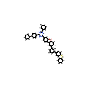 C1=CC(c2nc(-c3ccc(-c4ccccc4)cc3)nc(-c3ccc4c(c3)oc3ccc(-c5cccc(-c6ccc7sc8ccccc8c7c6)c5)cc34)n2)=CCC1